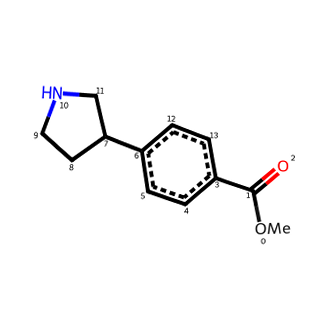 COC(=O)c1ccc(C2CCNC2)cc1